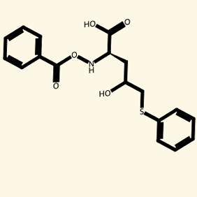 O=C(ON[C@H](CC(O)CSc1ccccc1)C(=O)O)c1ccccc1